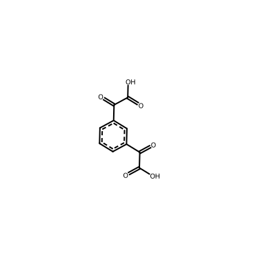 O=C(O)C(=O)c1cccc(C(=O)C(=O)O)c1